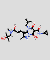 Cc1nn2c(O)c(C(=O)NC3CC3)c(=O)n(CC(C)C)c2c1/C=C/C(=O)N(C)CC(C)(C)O